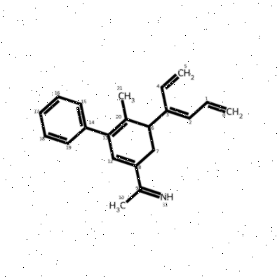 C=C/C=C(\C=C)C1CC(C(C)=N)=CC(c2ccccc2)=C1C